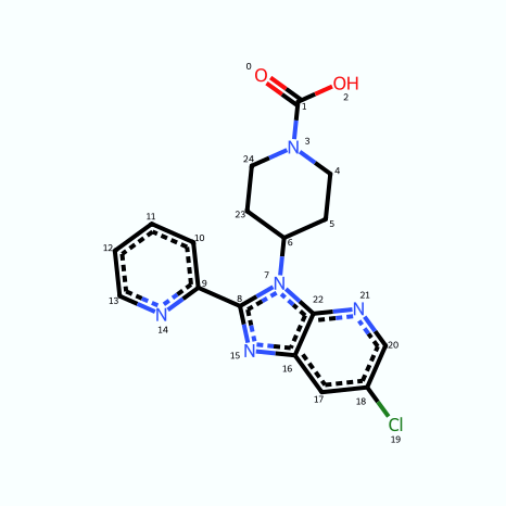 O=C(O)N1CCC(n2c(-c3ccccn3)nc3cc(Cl)cnc32)CC1